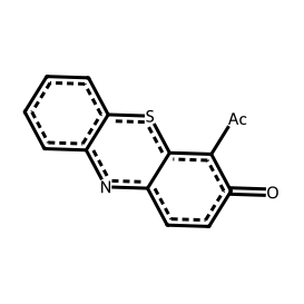 CC(=O)c1c2sc3ccccc3nc-2ccc1=O